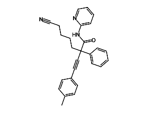 Cc1ccc(C#CC(CCCCC#N)(C(=O)Nc2ccccn2)c2ccccc2)cc1